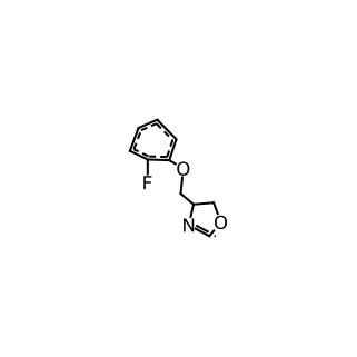 Fc1ccccc1OCC1CO[C]=N1